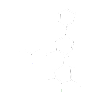 C=C(N)CCc1cc(-c2ccccc2)ccc1-c1cc(C)c(F)c(C)c1